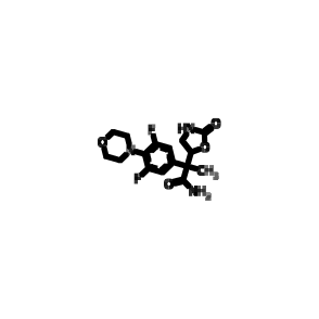 CC(C(N)=O)(c1cc(F)c(N2CCOCC2)c(F)c1)C1CNC(=O)O1